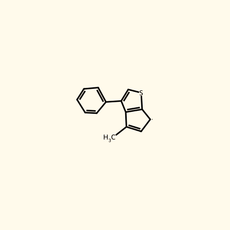 CC1=C[CH]c2scc(-c3ccccc3)c21